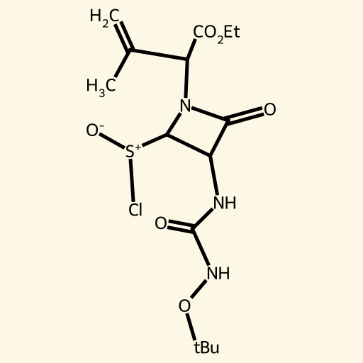 C=C(C)C(C(=O)OCC)N1C(=O)C(NC(=O)NOC(C)(C)C)C1[S+]([O-])Cl